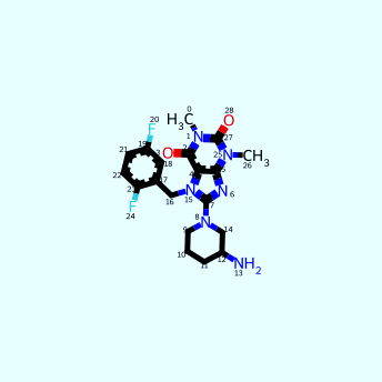 Cn1c(=O)c2c(nc(N3CCCC(N)C3)n2Cc2cc(F)ccc2F)n(C)c1=O